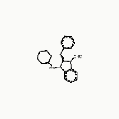 O=CC1/C(=C\c2ccccc2)C(NC2CCCCC2)c2ccccc21